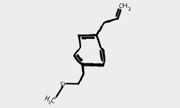 C=CCc1ccc(COC)cc1